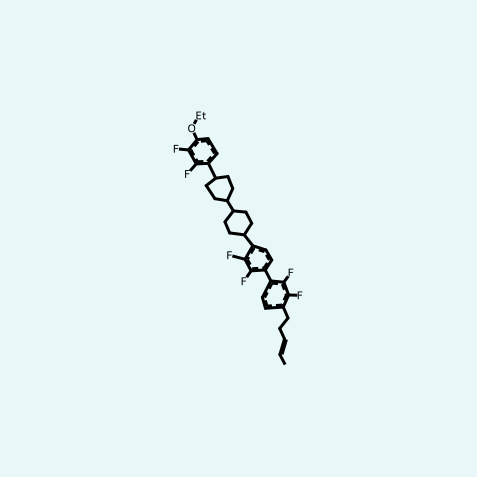 C/C=C/CCc1ccc(-c2ccc(C3CCC(C4CCC(c5ccc(OCC)c(F)c5F)CC4)CC3)c(F)c2F)c(F)c1F